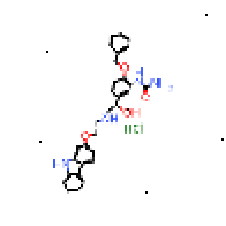 Cl.NC(=O)Nc1cc(C(O)CNCCOc2ccc3c(c2)[nH]c2ccccc23)ccc1OCc1ccccc1